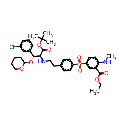 CCOC(=O)c1cc(S(=O)(=O)c2ccc(CCNC(C(=O)OC(C)(C)C)[C@H](OC3CCCCO3)c3cccc(Cl)c3)cc2)ccc1NC